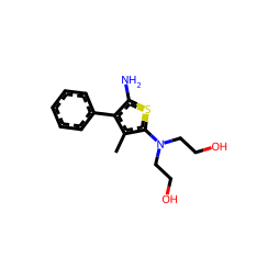 Cc1c(N(CCO)CCO)sc(N)c1-c1ccccc1